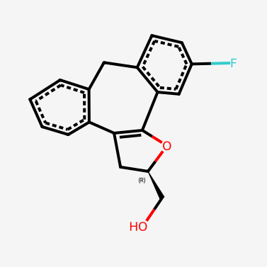 OC[C@H]1CC2=C(O1)c1cc(F)ccc1Cc1ccccc12